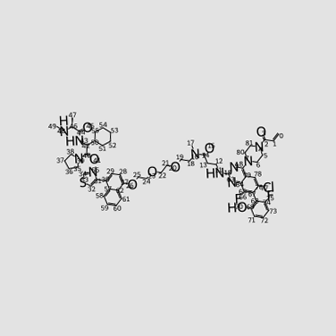 C=CC(=O)N1CCN(c2nc(NCCC(=O)N(C)CCOCCOCCOc3ccc(-c4csc([C@@H]5CCCN5C(=O)C(NC(=O)[C@H](C)NC)C5CCCCC5)n4)c4ccccc34)nc3c(F)c(-c4c(O)cccc4F)c(Cl)cc23)CC1